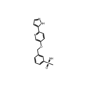 CS(=N)(=O)c1cccc(COc2ccc(-c3ccn[nH]3)nc2)c1